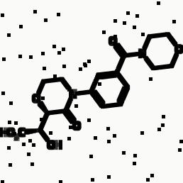 O=C(O)[C@H](O)[C@H]1OCCN(c2cccc(C(=O)N3CCOCC3)c2)C1=O